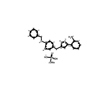 COP(=O)(O)O.Nc1ncccc1-c1cc(Cc2ccc(OCc3ccccc3)nc2)no1